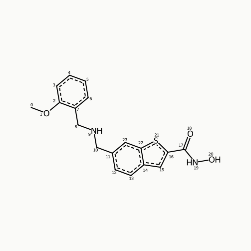 COc1ccccc1CNCc1ccc2cc(C(=O)NO)sc2c1